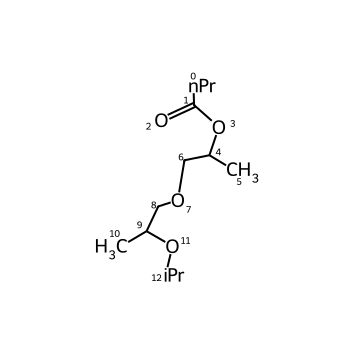 CCCC(=O)OC(C)COCC(C)OC(C)C